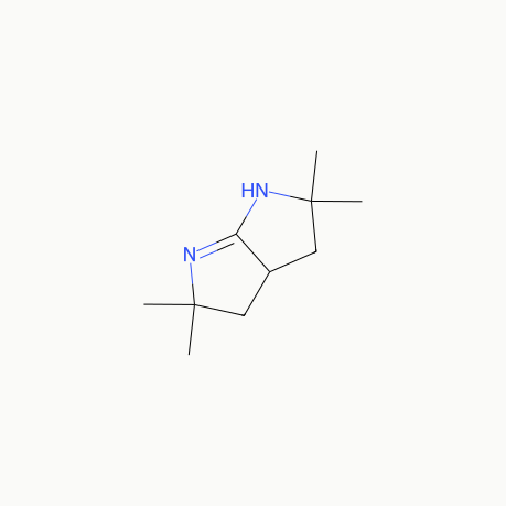 CC1(C)CC2CC(C)(C)NC2=N1